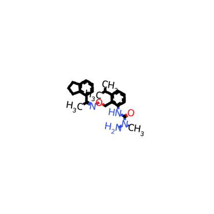 C/C(=N/OCc1c(NC(=O)N(C)N)cccc1C(C)C)c1cccc2c1CCC2